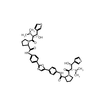 CN(C)[C@H](C(=O)N1CCCC1C(=O)Nc1ccc(-c2cnc(-c3ccc(NC(=O)C4CCCN4C(=O)[C@H]([C@@H](O)c4ccsc4)N(C)C)cc3)o2)cc1)[C@@H](O)c1ccsc1